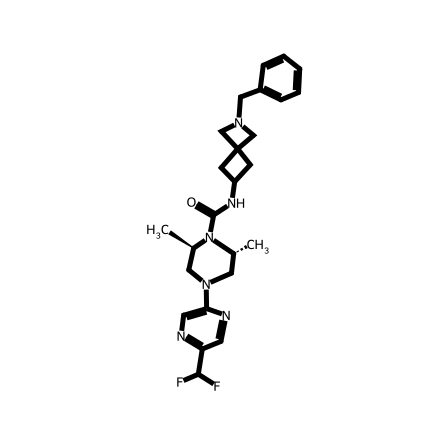 C[C@@H]1CN(c2cnc(C(F)F)cn2)C[C@@H](C)N1C(=O)NC1CC2(C1)CN(Cc1ccccc1)C2